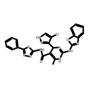 CC1=C(C(=O)Nc2nnc(-c3ccccc3)s2)C(c2n[nH]cc2Cl)N=C(Nc2nc3ccccc3o2)N1